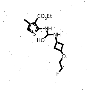 CCOC(=O)c1c(C)csc1NC(O)NC1CC(OCCF)C1